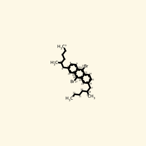 CCCCC(C)Cc1ccc2c(Br)c3ccc(CC(C)CCCC)cc3c(Br)c2c1